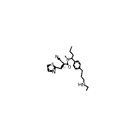 CCCC(c1ccc(CCCNCC)cc1)N(C)C(=O)/C(C#N)=C/c1nccs1